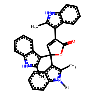 CCn1c(C)c(C2(c3c(C)[nH]c4ccccc34)C=C(c3c(C)[nH]c4ccccc34)C(=O)O2)c2ccccc21